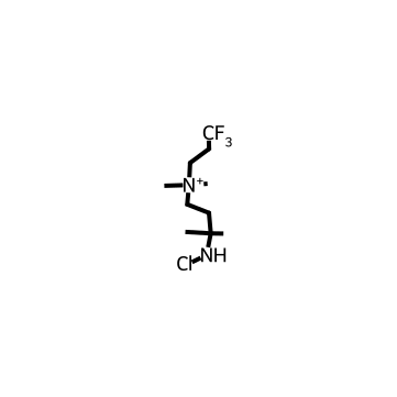 CC(C)(CC[N+](C)(C)CCC(F)(F)F)NCl